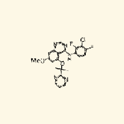 COc1cc(OC(C)(C)c2ncccn2)c2c(Nc3ccc(F)c(Cl)c3F)ncnc2c1